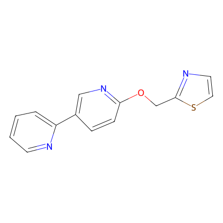 c1ccc(-c2ccc(OCc3nccs3)nc2)nc1